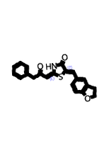 O=C(/C=c1\[nH]c(=O)/c(=C/c2ccc3c(c2)CCO3)s1)Cc1ccccc1